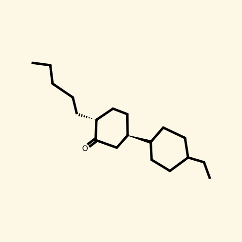 CCCCC[C@@H]1CC[C@@H](C2CCC(CC)CC2)CC1=O